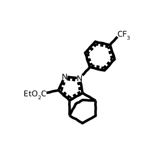 CCOC(=O)c1nn(-c2ccc(C(F)(F)F)cc2)c2c1C1CCC2CC1